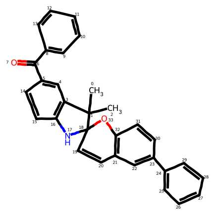 CC1(C)c2cc(C(=O)c3ccccc3)ccc2NC12C=Cc1cc(-c3ccccc3)ccc1O2